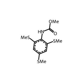 [CH2]OC(=O)Nc1c(SC)cc(SC)cc1SC